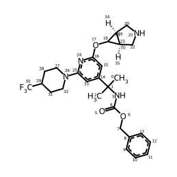 CC(C)(NC(=O)OCc1ccccc1)c1cc(OC2[C@H]3CNC[C@@H]23)nc(N2CCC(C(F)(F)F)CC2)c1